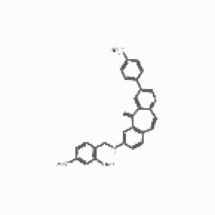 COc1ccc(CNc2ccc3ccc4ncc(-c5ccc(C(=O)O)cc5)cc4c(=O)c3c2)c(OC)c1